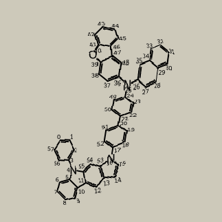 c1ccc(-n2c3ccccc3c3cc4ccn(-c5ccc(-c6ccc(N(c7ccc8ccccc8c7)c7ccc8oc9ccccc9c8c7)cc6)cc5)c4cc32)cc1